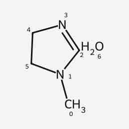 CN1C=NCC1.O